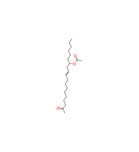 CCCCCCC(C/C=C/CCCCCCCC(C)=O)OC(C)=O